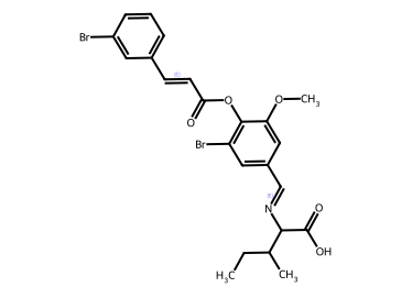 CCC(C)C(/N=C/c1cc(Br)c(OC(=O)/C=C/c2cccc(Br)c2)c(OC)c1)C(=O)O